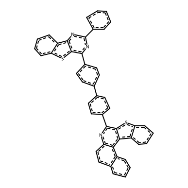 c1ccc(-c2nc(-c3ccc(-c4ccc(-c5nc6ccc7ccccc7c6c6c5sc5ccccc56)cc4)cc3)c3sc4ccccc4c3n2)cc1